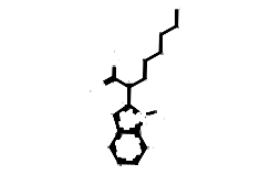 CCCCCCC(C(=O)O)c1cc2ccccc2n1Cl